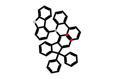 c1ccc(-c2ccccc2N(c2cccc3c2-c2ccccc2C3(c2ccccc2)c2ccccc2)c2cccc3oc4ccccc4c23)cc1